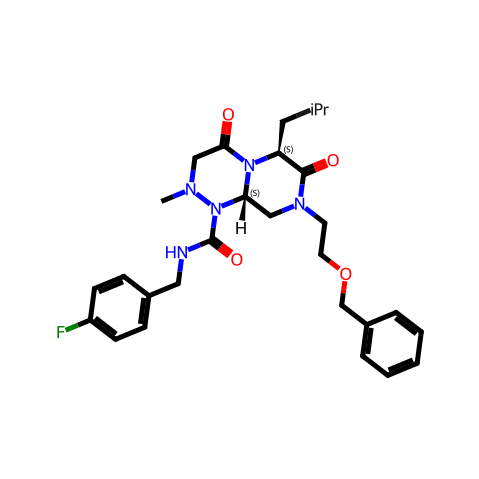 CC(C)C[C@H]1C(=O)N(CCOCc2ccccc2)C[C@H]2N1C(=O)CN(C)N2C(=O)NCc1ccc(F)cc1